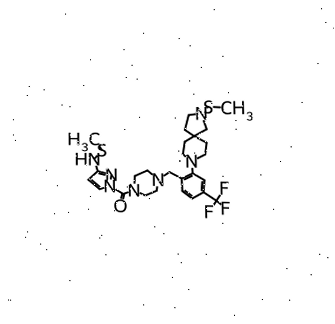 CSNc1ccn(C(=O)N2CCN(Cc3ccc(C(F)(F)F)cc3N3CCC4(CCN(SC)C4)CC3)CC2)n1